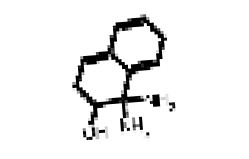 NC1(N)C2=CCC=CC2=CCC1O